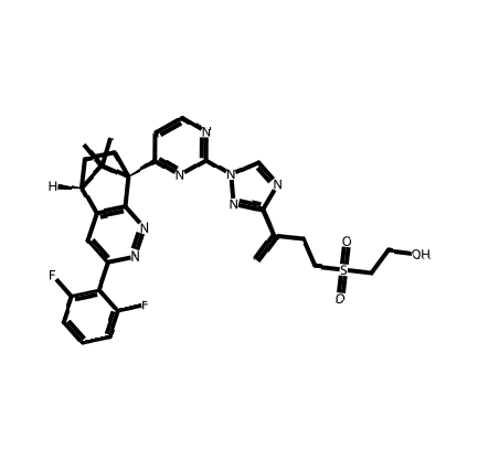 C=C(CCS(=O)(=O)CCO)c1ncn(-c2nccc([C@@]34CC[C@@H](c5cc(-c6c(F)cccc6F)nnc53)C4(C)C)n2)n1